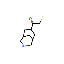 O=C(CF)C1CC2CNCC(C2)C1